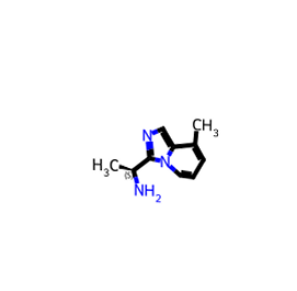 Cc1cccn2c([C@H](C)N)ncc12